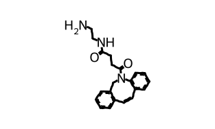 NCCNC(=O)CCC(=O)N1Cc2ccccc2/C=C\c2ccccc21